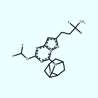 CC(F)(F)CCc1cc2nc(OC(F)F)nc(N3C4CC5CC3C(C4)O5)n2n1